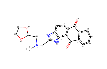 CN(Cc1nc2ccc3c(c2[nH]1)C(=O)c1ccccc1C3=O)CC1OCCO1